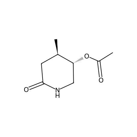 CC(=O)O[C@@H]1CNC(=O)C[C@H]1C